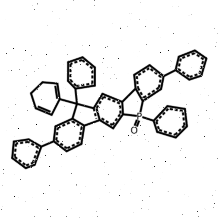 O=P1(c2ccccc2)c2cc(-c3ccccc3)ccc2-c2cc3c(cc21)-c1ccc(-c2ccccc2)cc1C3(C1=CCCC=C1)c1ccccc1